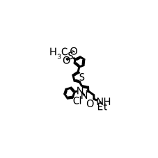 CCNC(=O)Cc1cc(-c2ccc(-c3cccc(S(C)(=O)=O)c3)s2)n(-c2ccccc2Cl)n1